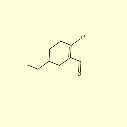 CCC1CCC(Cl)=C(C=O)C1